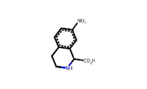 O=C(O)C1NCCc2ccc([N+](=O)[O-])cc21